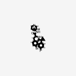 O=C(N[C@@H]1CN2CCC1CC2)C(Cc1ccc(Br)cc1)NC(=O)C1(c2ccc(F)cc2)CC1